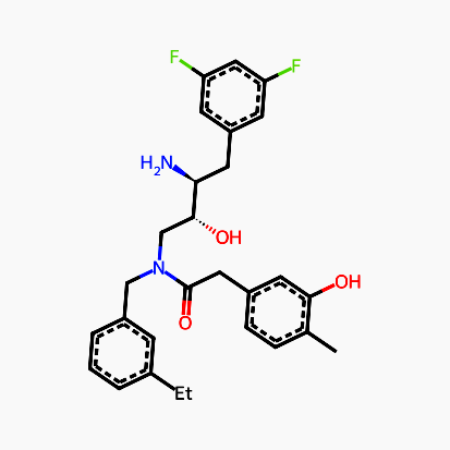 CCc1cccc(CN(C[C@@H](O)[C@@H](N)Cc2cc(F)cc(F)c2)C(=O)Cc2ccc(C)c(O)c2)c1